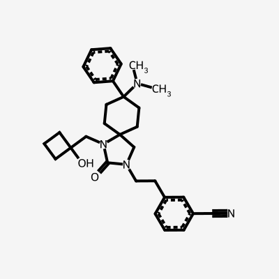 CN(C)C1(c2ccccc2)CCC2(CC1)CN(CCc1cccc(C#N)c1)C(=O)N2CC1(O)CCC1